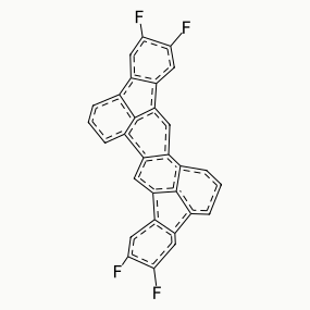 Fc1cc2c(cc1F)c1cc3c(cc4c5cc(F)c(F)cc5c5cccc3c54)c3cccc2c31